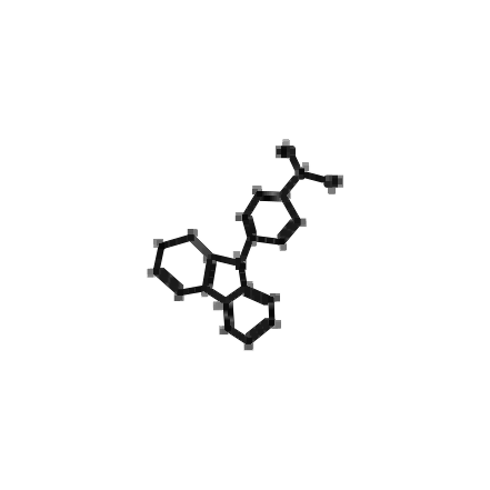 OB(O)c1ccc(-n2c3c(c4ccccc42)C=CCC3)cc1